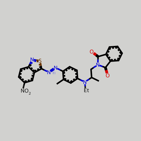 CCN(c1ccc(/N=N/c2snc3ccc([N+](=O)[O-])cc23)c(C)c1)C(C)CN1C(=O)c2ccccc2C1=O